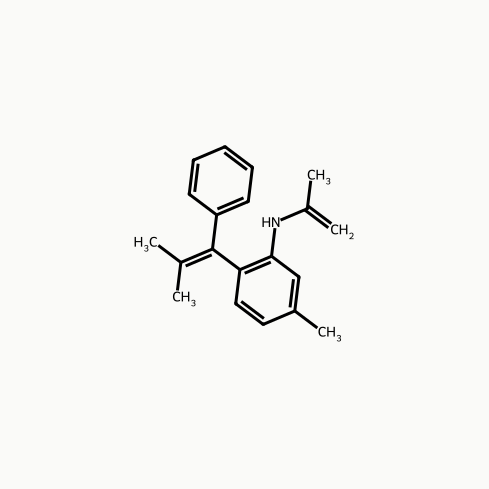 C=C(C)Nc1cc(C)ccc1C(=C(C)C)c1ccccc1